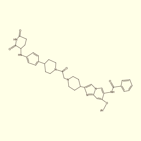 CC(C)Oc1cc2nc(C3CCN(CC(=O)N4CCC(c5ccc(NC6CCC(=O)NC6=O)cc5)CC4)CC3)cn2cc1NC(=O)c1ccccc1